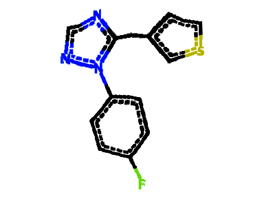 Fc1ccc(-n2ncnc2-c2ccsc2)cc1